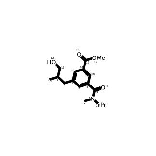 CCCN(C)C(=O)c1cc(CC(C)CO)cc(C(=O)OC)c1